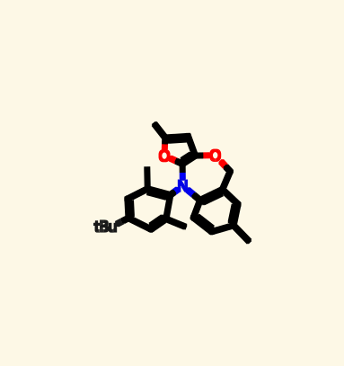 Cc1ccc2c(c1)COc1cc(C)oc1N2c1c(C)cc(C(C)(C)C)cc1C